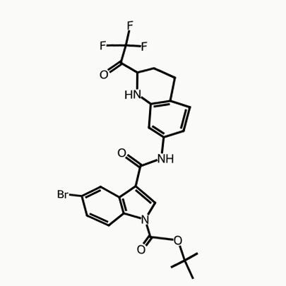 CC(C)(C)OC(=O)n1cc(C(=O)Nc2ccc3c(c2)NC(C(=O)C(F)(F)F)CC3)c2cc(Br)ccc21